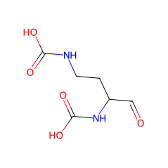 O=CC(CCNC(=O)O)NC(=O)O